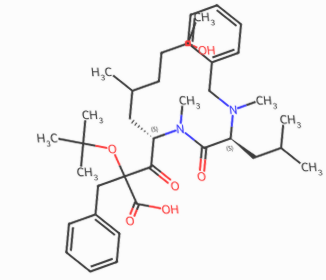 CC(C)C[C@@H](C(=O)N(C)[C@@H](CC(C)CCC(C)O)C(=O)C(Cc1ccccc1)(OC(C)(C)C)C(=O)O)N(C)Cc1ccccc1